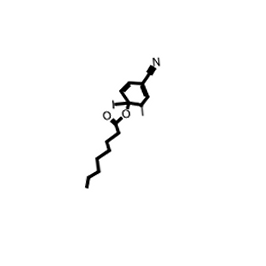 CCCCCCCC(=O)OC1(I)C=CC(C#N)=CC1I